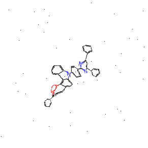 c1ccc(-c2cc(-c3ccccc3)nc(-c3ccc(-n4c5ccccc5c5c6oc(-c7ccccc7)cc6ccc54)cc3)n2)cc1